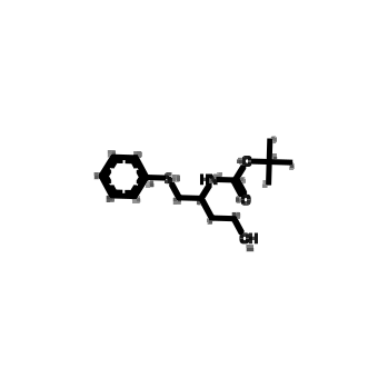 CC(C)(C)OC(=O)NC(CCO)CSc1ccccc1